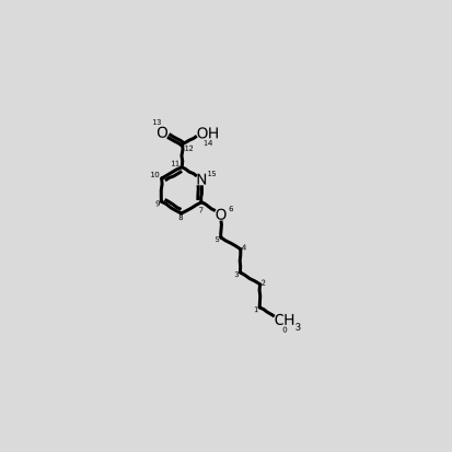 CCCCCCOc1cccc(C(=O)O)n1